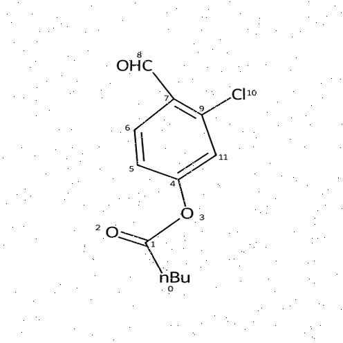 [CH2]CCCC(=O)Oc1ccc(C=O)c(Cl)c1